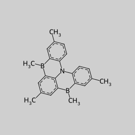 CB1c2cc(C)ccc2N2c3ccc(C)cc3B(C)c3cc(C)cc1c32